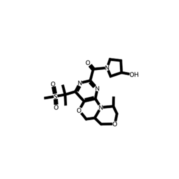 CC1COCC2COc3c(nc(C(=O)N4CCC(O)C4)nc3C(C)(C)S(C)(=O)=O)N12